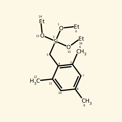 CCO[Si](Cc1c(C)cc(C)cc1C)(OCC)OCC